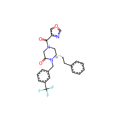 O=C(c1cocn1)N1CC(=O)N(Cc2cccc(C(F)(F)F)c2)[C@@H](CCc2ccccc2)C1